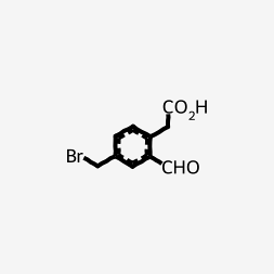 O=Cc1cc(CBr)ccc1CC(=O)O